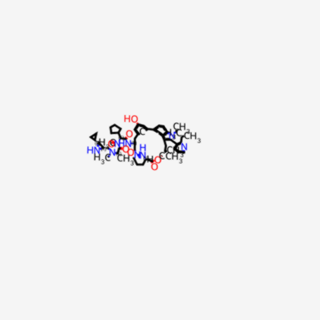 CCn1c(-c2cccnc2C(C)C)c2c3cc(ccc31)-c1cc(O)cc(c1)C[C@H](NC(=O)[C@H](C1CCCC1)N(C)C(=O)[C@H](C)N(C)C(=O)[C@@H]1N[C@@H]1C1CC1)C(=O)N1CCC[C@H](N1)C(=O)OCC(C)(C)C2